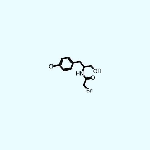 O=C(CBr)NC(CO)Cc1ccc(Cl)cc1